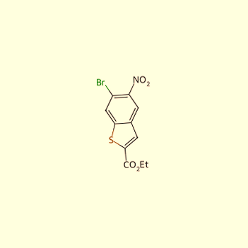 CCOC(=O)c1cc2cc([N+](=O)[O-])c(Br)cc2s1